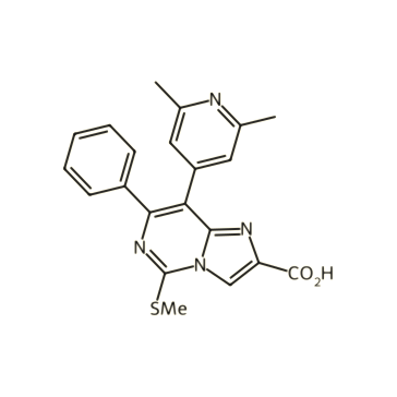 CSc1nc(-c2ccccc2)c(-c2cc(C)nc(C)c2)c2nc(C(=O)O)cn12